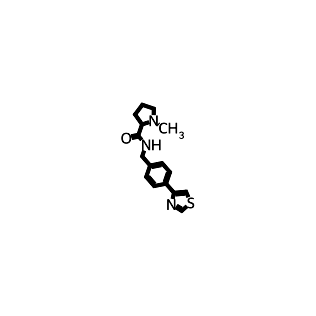 CN1CCCC1C(=O)NCc1ccc(-c2cscn2)cc1